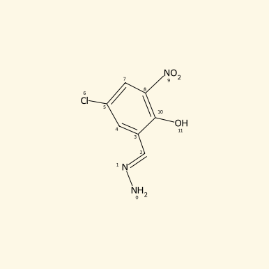 NN=Cc1cc(Cl)cc([N+](=O)[O-])c1O